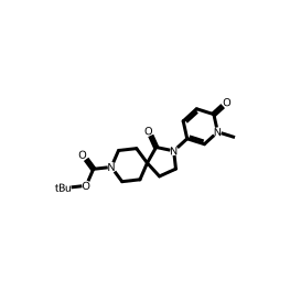 Cn1cc(N2CCC3(CCN(C(=O)OC(C)(C)C)CC3)C2=O)ccc1=O